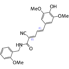 COc1ccccc1CNC(=O)/C(C#N)=C/C=C/c1cc(OC)c(O)c(OC)c1